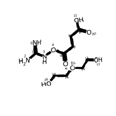 N=C(N)NOC(=O)CCC(=O)O.OCCOCCO